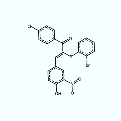 O=C(C(=Cc1ccc(O)c([N+](=O)[O-])c1)Sc1ccccc1Br)c1ccc(Cl)cc1